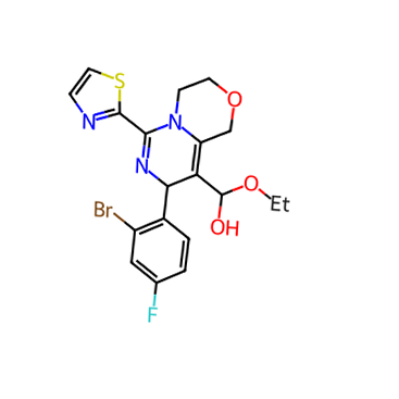 CCOC(O)C1=C2COCCN2C(c2nccs2)=NC1c1ccc(F)cc1Br